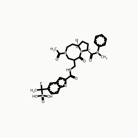 CC(=O)N1CC[C@H]2CC[C@@H](C(=O)N(C)c3ccccc3)N2C(=O)C(CNC(=O)c2cc3cc(C(C)(F)P(=O)(O)O)ccc3s2)C1